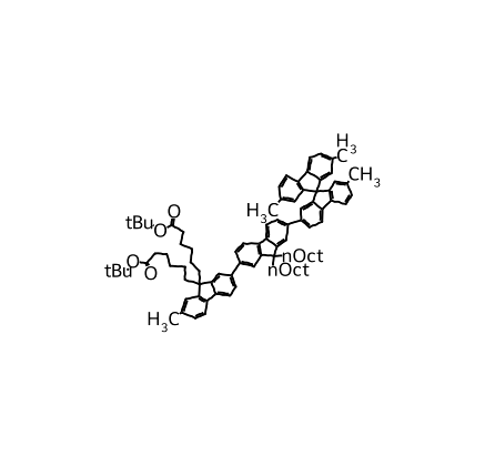 CCCCCCCCC1(CCCCCCCC)c2cc(-c3ccc4c(c3)C(CCCCCC(=O)OC(C)(C)C)(CCCCCC(=O)OC(C)(C)C)c3cc(C)ccc3-4)ccc2-c2ccc(-c3ccc4c(c3)C3(c5cc(C)ccc5-c5ccc(C)cc53)c3cc(C)ccc3-4)cc21